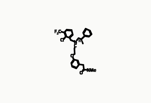 CNC(=O)Cc1cccc(OCCCN(Cc2cccc(C(F)(F)F)c2Cl)C[C@H](C)c2ccccc2)c1